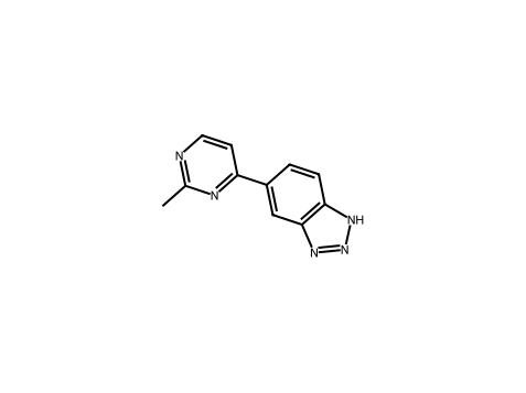 Cc1nccc(-c2ccc3[nH]nnc3c2)n1